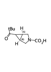 CC(C)(C)C(=O)C1[C@H]2CN(C(=O)O)C[C@@H]12